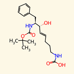 CC(C)(C)OC(=O)N[C@@H](Cc1ccccc1)[C@H](O)C=CCCCNC(=O)O